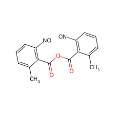 Cc1cccc(N=O)c1C(=O)OC(=O)c1c(C)cccc1N=O